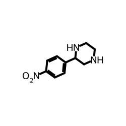 O=[N+]([O-])c1ccc(C2CNCCN2)cc1